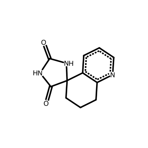 O=C1NC(=O)C2(CCCc3ncccc32)N1